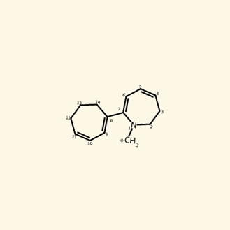 CN1CCC=CC=C1C1=CC=CCCC1